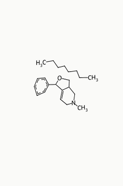 CCCCCCCC.CN1CC=C2C(COC2c2ccccc2)C1